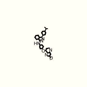 COc1cnc2c(Oc3ccc(Nc4nnc(-c5ccc(C(C)C)cc5)c5ccccc45)cc3)ccnc2c1